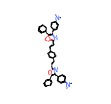 CN(C)c1ccc(-c2nc(C=Cc3ccc(C=Cc4nc(-c5ccc(N(C)C)cc5)c(-c5ccccc5)o4)cc3)oc2-c2ccccc2)cc1